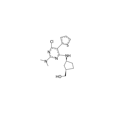 CN(C)c1nc(Cl)c(-c2cccs2)c(N[C@H]2CC[C@@H](CO)C2)n1